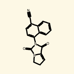 N#Cc1ccc(N2C(=O)C3=CCCN3C2=O)c2ccccc12